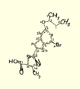 CCC(C)Oc1cc(Br)c2sc(-c3nc(C)c(C(=O)O)s3)cc2c1